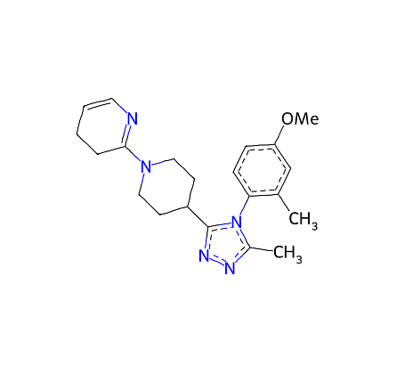 COc1ccc(-n2c(C)nnc2C2CCN(C3=NC=CCC3)CC2)c(C)c1